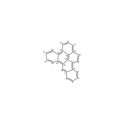 [c]1c2ccccc2c2ccc3cccc4c5ccccc5c1c2c34